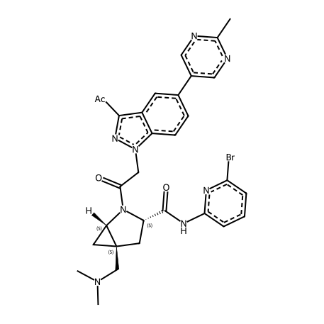 CC(=O)c1nn(CC(=O)N2[C@H]3C[C@@]3(CN(C)C)C[C@H]2C(=O)Nc2cccc(Br)n2)c2ccc(-c3cnc(C)nc3)cc12